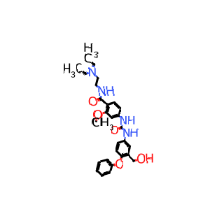 CCN(CC)CCNC(=O)c1ccc(NC(=O)Nc2ccc(Oc3ccccc3)c(CO)c2)cc1OC